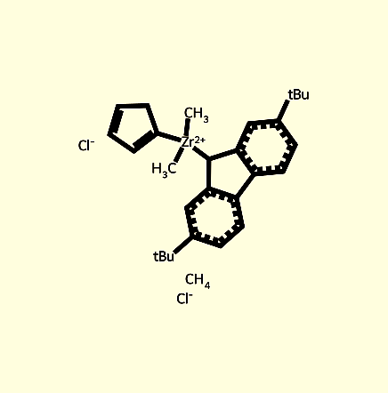 C.CC(C)(C)c1ccc2c(c1)[CH]([Zr+2]([CH3])([CH3])[C]1=CC=CC1)c1cc(C(C)(C)C)ccc1-2.[Cl-].[Cl-]